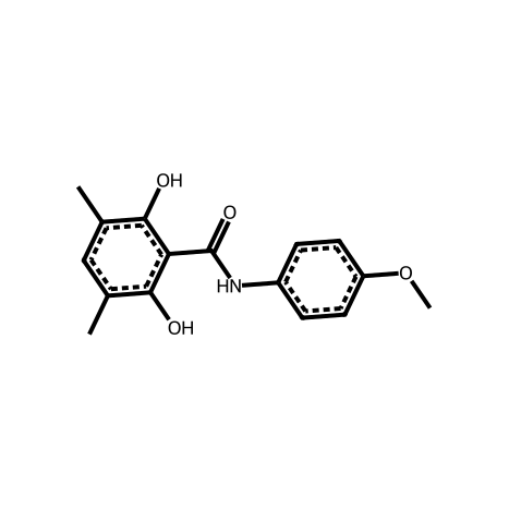 COc1ccc(NC(=O)c2c(O)c(C)cc(C)c2O)cc1